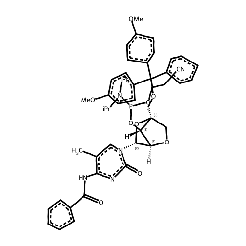 COc1ccc(C(OC[C@@]23CO[C@@H]([C@H](n4cc(C)c(NC(=O)c5ccccc5)nc4=O)O2)[C@@H]3OP(OCCC#N)N(C(C)C)C(C)C)(c2ccccc2)c2ccc(OC)cc2)cc1